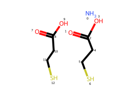 N.O=C(O)CCS.O=C(O)CCS